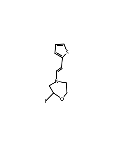 IC1CN(C=Cc2cccs2)CCO1